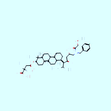 COCC(=O)N(Cc1ccc(Cl)cc1)C[C@H](O)[C@@H]1C(=O)C(C(C)C)=C2C1CC[C@]1(C)[C@@H]2CC[C@@H]2[C@@]3(C)CC[C@H](OC(=O)CC(C)(C)C(=O)O)C(C)(C)[C@H]3CC[C@]21C